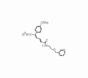 CCCCCC(=CC=CC(=O)NCCOCc1cccnc1)c1ccc(OC)cc1